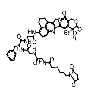 CC[C@@]1(O)C(=O)OCc2c1cc1n(c2=O)Cc2c-1nc1ccc(NC(=O)CNC(=O)[C@H](Cc3ccccc3)NC(=O)CNC(=O)CNC(=O)CCCCCN3C(=O)C=CC3=O)c3c1c2CCC3